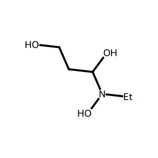 CCN(O)C(O)CCO